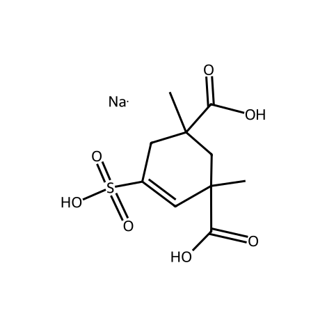 CC1(C(=O)O)C=C(S(=O)(=O)O)CC(C)(C(=O)O)C1.[Na]